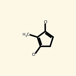 CC1=C(Cl)CC=C1Cl